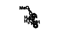 COCCCOc1ccnc(CC(C)(O)c2nc3ccccc3[nH]2)c1C